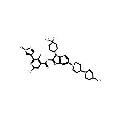 Cc1cc(C(=O)Nc2nc3cc(N4CCC(N5CCN(C)CC5)CC4)ccc3n2[C@H]2CC[C@@](C)(O)CC2)c(F)c(-c2cnn(C)c2)n1